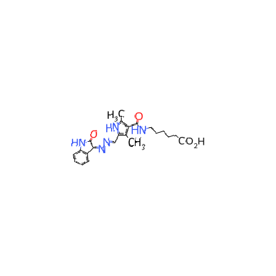 Cc1[nH]c(C=NN=C2C(=O)Nc3ccccc32)c(C)c1C(=O)NCCCCCC(=O)O